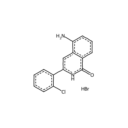 Br.Nc1cccc2c(=O)[nH]c(-c3ccccc3Cl)cc12